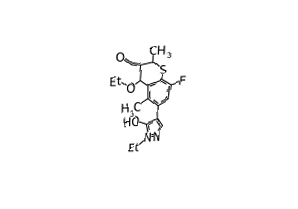 CCOC1C(=C=O)C(C)Sc2c(F)cc(-c3cnn(CC)c3O)c(C)c21